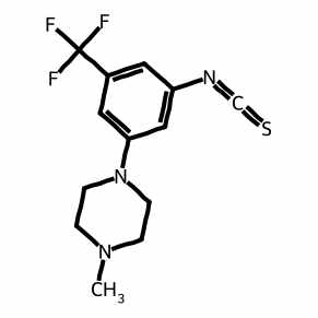 CN1CCN(c2cc(N=C=S)cc(C(F)(F)F)c2)CC1